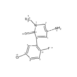 Cn1cc(N)cc(-c2cc(Cl)ccc2F)c1=O